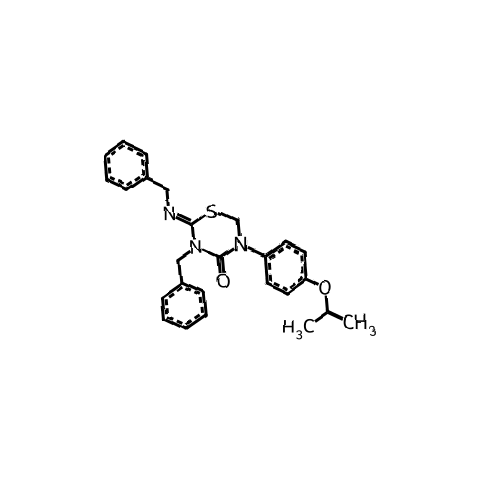 CC(C)Oc1ccc(N2CSC(=NCc3ccccc3)N(Cc3ccccc3)C2=O)cc1